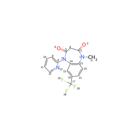 CN1C(=O)CC(=O)N(c2ccccn2)c2cc(C(F)(F)F)ccc21